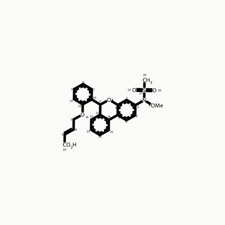 CON(c1ccc2c(c1)OC(c1ccccc1OCC=CC(=O)O)c1ccccc1-2)S(C)(=O)=O